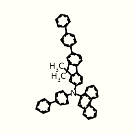 CC1(C)c2cc(-c3ccc(-c4ccccc4)cc3)ccc2-c2ccc(N(c3ccc(-c4ccccc4)cc3)c3cc4ccccc4c4ccccc34)cc21